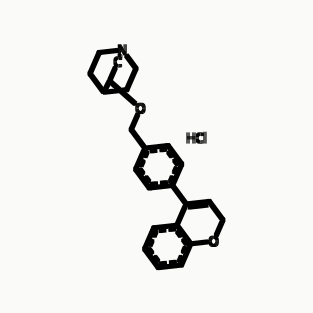 C1=C(c2ccc(COC3CN4CCC3CC4)cc2)c2ccccc2OC1.Cl